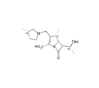 C[C@H]1CCN(CC2=C(C(=O)O)N3C(=O)C([C@@H](C)O)C3[C@H]2C)C1